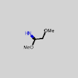 COCC(=N)OC